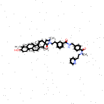 CCCC1(C(=O)NCCc2cccc(C(=O)NCc3ccc(C(=O)N(C)CCc4ccccn4)cc3)c2)CC[C@]2(C)C(CCC3C4(C)CCC(O)C(C)(C)C4CCC32C)C1C